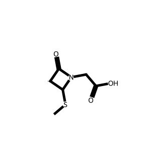 CSC1[CH]C(=O)N1CC(=O)O